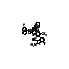 CC(C)(C)OC(=O)N1C2CCC1CN(c1nc(OC[C@@]34CCCN3C[C@H](F)C4)nc3c(F)c(-c4ccc(F)c5sc(N)c(C#N)c45)c(C(F)(F)F)cc13)C2